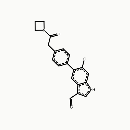 O=Cc1c[nH]c2cc(Cl)c(-c3ccc(CC(=O)N4CCC4)cc3)cc12